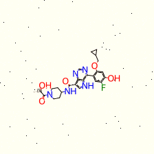 C[C@H](O)C(=O)N1CCC(NC(=O)c2c[nH]c3c(-c4cc(F)c(O)cc4OCC4CC4)ncnc23)CC1